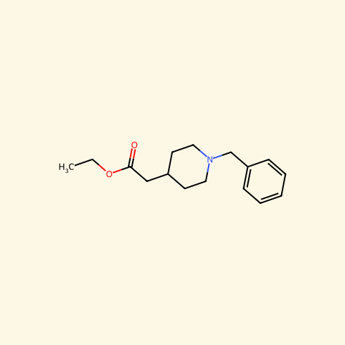 CCOC(=O)CC1CCN(Cc2ccccc2)CC1